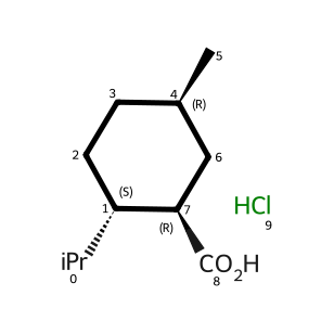 CC(C)[C@@H]1CC[C@@H](C)C[C@H]1C(=O)O.Cl